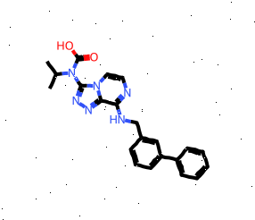 CC(C)N(C(=O)O)c1nnc2c(NCc3cccc(-c4ccccc4)c3)nccn12